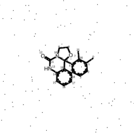 Cc1cccc(C23OCCN2C(=O)Nc2ccccc23)c1C